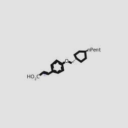 CCCCC[C@H]1CC[C@H](COc2ccc(/C=C/C(=O)O)cc2)CC1